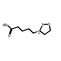 CC(C)(C)C(=O)CCCC[C@@H]1CCSS1